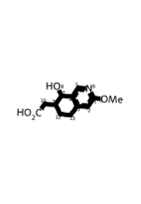 COc1cc2c(cn1)C(O)C(CC(=O)O)CC2